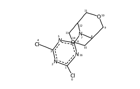 Clc1nc(Cl)nc(N2C3COCC2COC3)n1